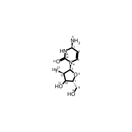 N[C@H]1C=CN([C@H]2O[C@H](CO)C(O)[C@H]2[18F])C(=O)N1